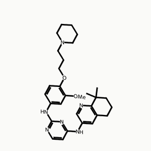 COc1cc(Nc2nccc(Nc3cnc4c(c3)CCCC4(C)C)n2)ccc1OCCCN1CCCCC1